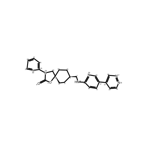 O=C1O[C@]2(CC[C@H](CNc3ccc(-c4ccnnc4)cn3)CC2)CN1c1ccccn1